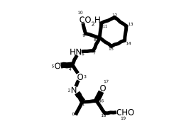 CC(=NOC(=O)NCC1(CC(=O)O)CCCCC1)C(=O)CC=O